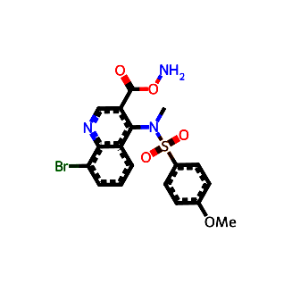 COc1ccc(S(=O)(=O)N(C)c2c(C(=O)ON)cnc3c(Br)cccc23)cc1